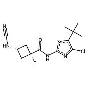 CC(C)(C)c1sc(NC(=O)[C@]2(F)C[C@@H](NC#N)C2)nc1Cl